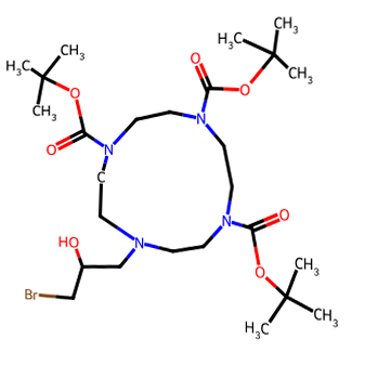 CC(C)(C)OC(=O)N1CCN(CC(O)CBr)CCN(C(=O)OC(C)(C)C)CCN(C(=O)OC(C)(C)C)CC1